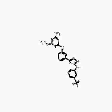 CSc1nc(N)cc(Oc2cccc(-c3nnc(Nc4cccc(C(F)(F)F)c4)s3)c2)n1